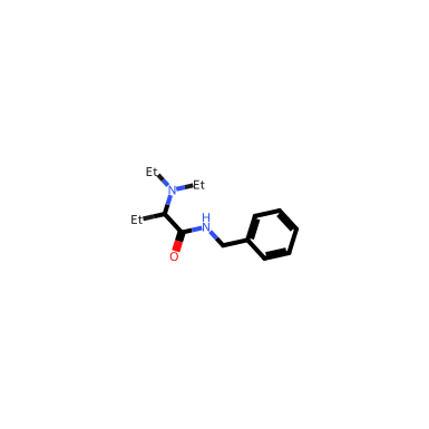 CCC(C(=O)NCc1ccccc1)N(CC)CC